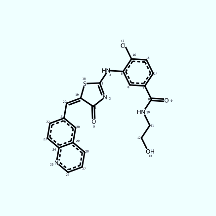 O=C1N=C(Nc2cc(C(=O)NCCO)ccc2Cl)SC1=Cc1ccc2ncccc2c1